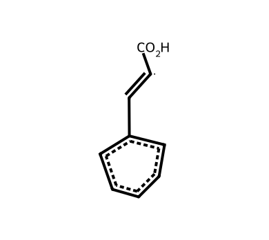 O=C(O)[C]=Cc1ccccc1